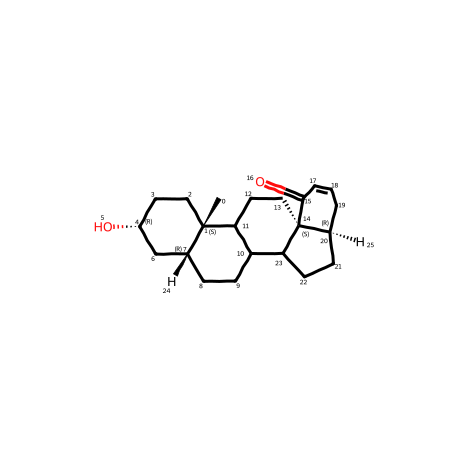 C[C@]12CC[C@@H](O)C[C@H]1CCC1C2CC[C@]23C(=O)C=CC[C@H]2CCC13